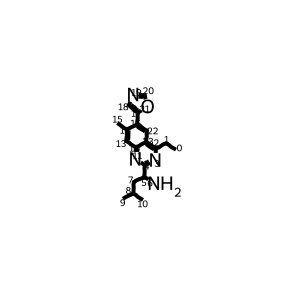 CCc1nc(C(N)CC(C)C)nc2cc(C)c(-c3cnco3)cc12